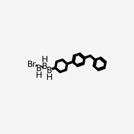 BrBBBC1CCC(c2ccc(Cc3ccccc3)cc2)CC1